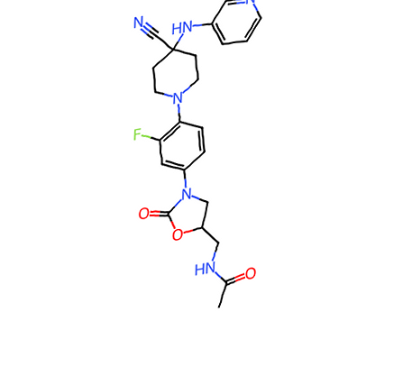 CC(=O)NCC1CN(c2ccc(N3CCC(C#N)(Nc4cccnc4)CC3)c(F)c2)C(=O)O1